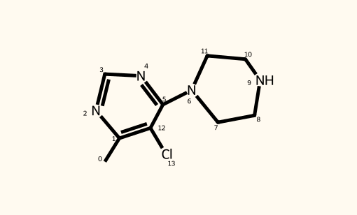 Cc1ncnc(N2CCNCC2)c1Cl